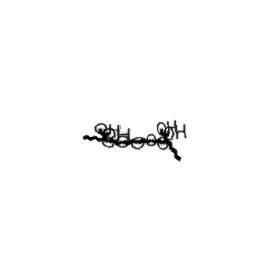 CCCCCC(OCCOCCOCCOCCOC(CCCCC)C(O)CO)C(O)CO